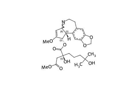 COC(=O)C[C@@](O)(CCCC(C)(C)O)C(=O)O[C@@H]1C(OC)=C[C@]23CCCN2CCc2cc4c(cc2[C@H]13)OCO4